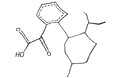 CC1CCC(C(C)C)C(c2ccccc2C(=O)C(=O)O)C1